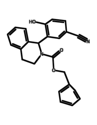 N#Cc1ccc(O)c(C2c3ccccc3CCN2C(=O)OCc2ccccc2)c1